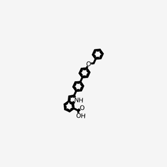 O=C(O)c1cccc2cc(-c3ccc(-c4ccc(OCc5ccccc5)cc4)cc3)[nH]c12